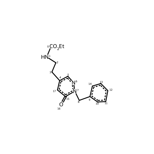 CCOC(=O)NCCc1cnn(Cc2ccccc2)c(=O)c1